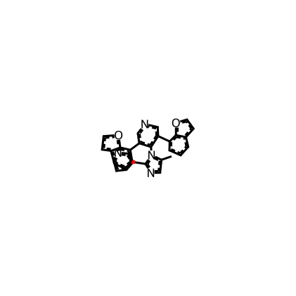 Cc1cnc(-c2cccnc2)n1-c1c(-c2cccc3ccoc23)cncc1-c1cccc2ccoc12